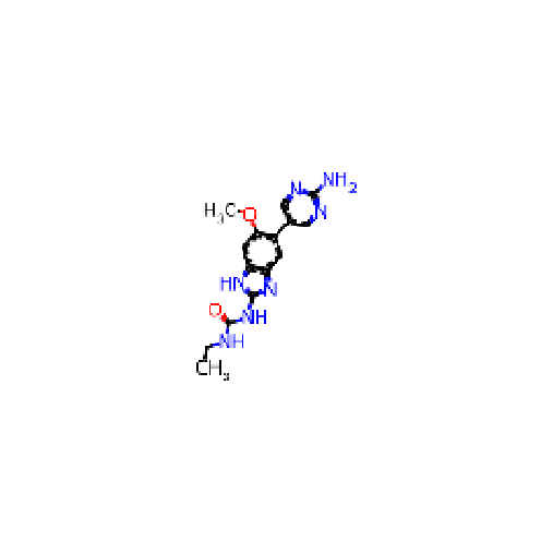 CCNC(=O)Nc1nc2cc(-c3cnc(N)nc3)c(OC)cc2[nH]1